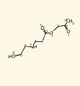 CC(=O)COC(=O)CCNCCO